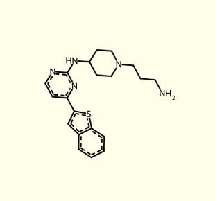 NCCCN1CCC(Nc2nccc(-c3cc4ccccc4s3)n2)CC1